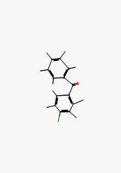 Cc1c(C)c(C)c(C(=O)c2c(C)c(C)c(Cl)c(C)c2C)c(C)c1C